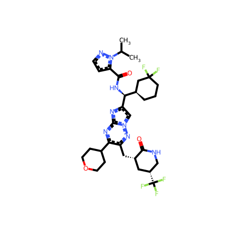 CC(C)n1nccc1C(=O)N[C@H](c1cn2nc(C[C@H]3C[C@@H](C(F)(F)F)CNC3=O)c(C3CCOCC3)nc2n1)[C@@H]1CCCC(F)(F)C1